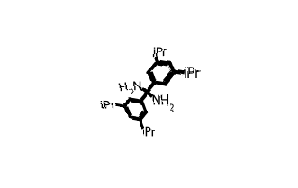 CC(C)c1cc(C(C)C)cc(C(N)(N)c2cc(C(C)C)cc(C(C)C)c2)c1